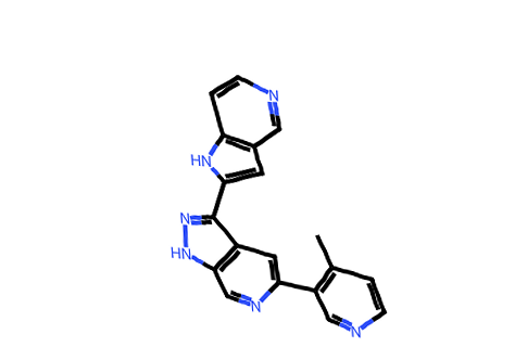 Cc1ccncc1-c1cc2c(-c3cc4cnccc4[nH]3)n[nH]c2cn1